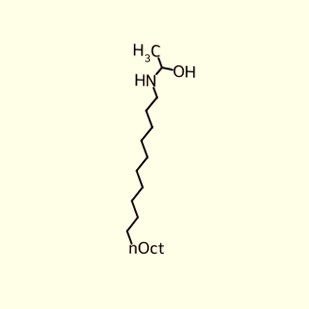 CCCCCCCCCCCCCCCCCCNC(C)O